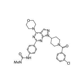 CNC(=O)Nc1ccc(-c2nc(N3CCOCC3)c3cnn(C4CCN(C(=O)c5cccc(Cl)c5)CC4)c3n2)cc1